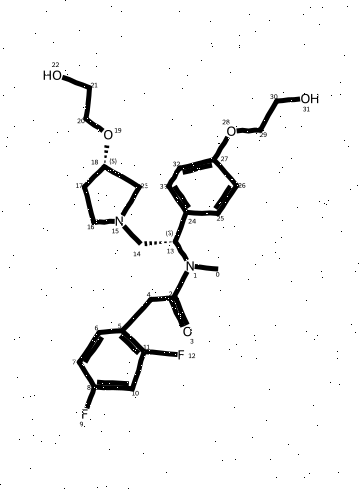 CN(C(=O)Cc1ccc(F)cc1F)[C@H](CN1CC[C@H](OCCO)C1)c1ccc(OCCO)cc1